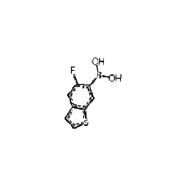 OB(O)c1cc2sccc2cc1F